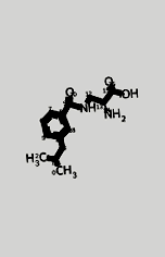 CC(C)Cc1cccc(C(=O)NC[C@@H](N)C(=O)O)c1